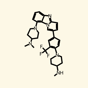 CNC1CCN(c2ccc(-c3ccc4nc5cccc(N6CCC(N(C)C)CC6)c5n4c3)cc2C(F)(F)F)CC1